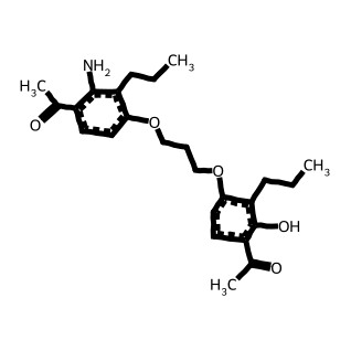 CCCc1c(OCCCOc2ccc(C(C)=O)c(O)c2CCC)ccc(C(C)=O)c1N